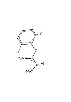 COC(=O)[C@@H](N)Cc1c(Cl)cccc1Cl